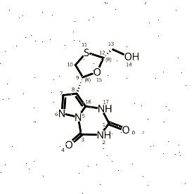 O=c1[nH]c(=O)n2ncc([C@@H]3CS[C@H](CO)O3)c2[nH]1